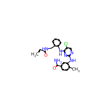 C=CC(=O)NCc1ccccc1Nc1nc(Nc2cc(C(N)=O)ccc2C)ncc1Cl